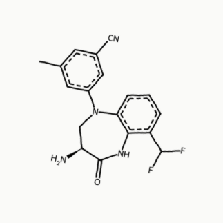 Cc1cc(C#N)cc(N2C[C@H](N)C(=O)Nc3c(C(F)F)cccc32)c1